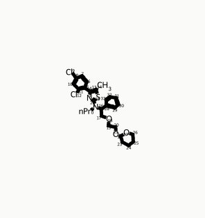 CCCN(c1nc(-c2ccc(Cl)cc2Cl)c(C)s1)C(COCCOC1CCCCO1)c1ccccc1